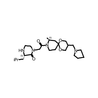 CC(C)C[C@@H]1NCCN(CC(=O)N2CCC3(C[C@@H]2C)OCC(CN2CCCC2)CO3)C1=O